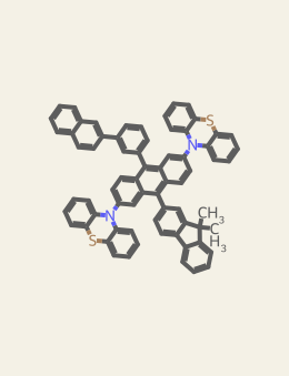 CC1(C)c2ccccc2-c2ccc(-c3c4ccc(N5c6ccccc6Sc6ccccc65)cc4c(-c4cccc(-c5ccc6ccccc6c5)c4)c4ccc(N5c6ccccc6Sc6ccccc65)cc34)cc21